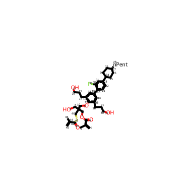 C=C(C)C(=O)OCC(CO)(COc1c(CCCO)cc(-c2ccc(C3CCC(CCCCC)CC3)cc2F)cc1CCCO)CSC(=O)C(=C)C